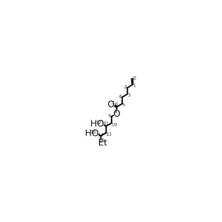 C=CCCCCC(=O)OCCC(O)CC(O)CC